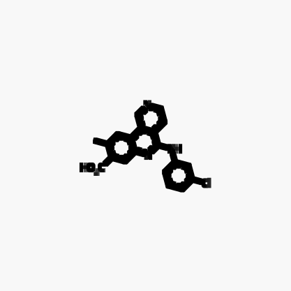 Cc1cc2c(cc1C(=O)O)nc(Nc1cccc(Cl)c1)c1ccncc12